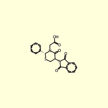 O=C(O)CN1C(=O)C(N2C(=O)c3ccccc3C2=O)CS[C@@H]1c1ccccc1